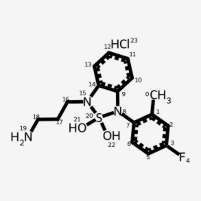 Cc1cc(F)ccc1N1c2ccccc2N(CCCN)S1(O)O.Cl